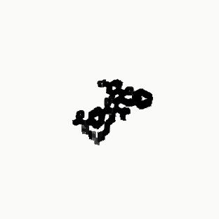 CC(=O)Nc1ccc(C(=O)N(CCCN)C(c2oc3cc(Cl)ccc3c(=O)c2Cc2ccccc2)C(C)C)cc1